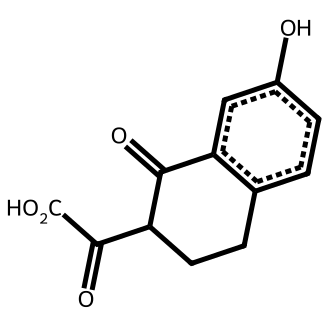 O=C(O)C(=O)C1CCc2ccc(O)cc2C1=O